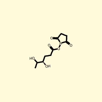 CC(O)[C@H](O)CCC(=O)ON1C(=O)CCC1=O